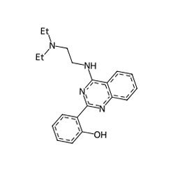 CCN(CC)CCNc1nc(-c2ccccc2O)nc2ccccc12